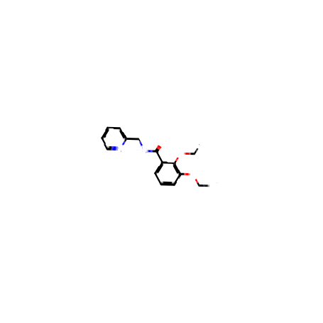 O=C(NCc1ccccn1)c1cccc(OCC(F)(F)F)c1OCC(F)(F)F